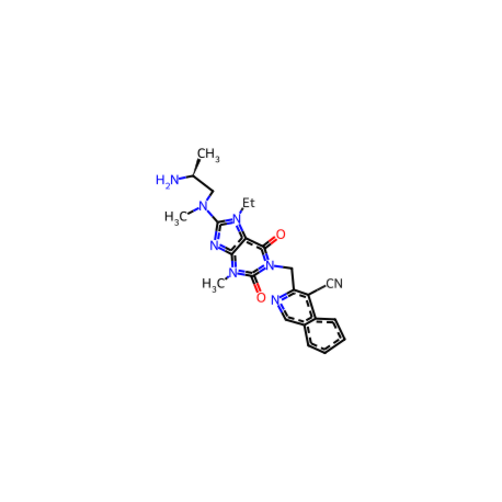 CCn1c(N(C)C[C@H](C)N)nc2c1c(=O)n(Cc1ncc3ccccc3c1C#N)c(=O)n2C